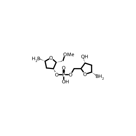 B[C@H]1C[C@@H](O)C(COP(=O)(O)O[C@@H]2C[C@H](B)O[C@@H]2COC)O1